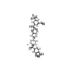 C[C@@H]1C[C@@H](N2Cc3cnc(Nc4cc(C#N)cc(C(F)(F)F)c4)nc3C2)CCN1C(=O)c1ccc2[nH]nnc2c1